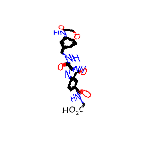 O=C(O)CNC(=O)c1ccc2nc(C(=O)NCc3ccc4c(c3)NC(=O)CO4)[nH]c(=O)c2c1